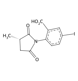 C[C@H]1CC(=O)N(c2ccc(I)cc2C(=O)O)C1=O